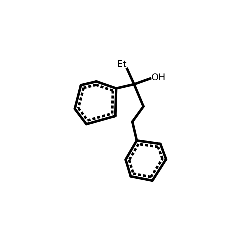 CCC(O)(CCc1ccccc1)c1ccccc1